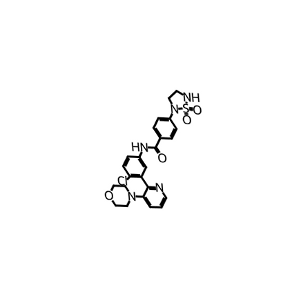 O=C(Nc1ccc(Cl)c(-c2ncccc2N2CCOCC2)c1)c1ccc(N2CCNS2(=O)=O)cc1